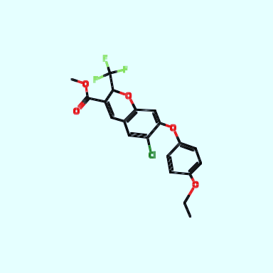 CCOc1ccc(Oc2cc3c(cc2Cl)C=C(C(=O)OC)C(C(F)(F)F)O3)cc1